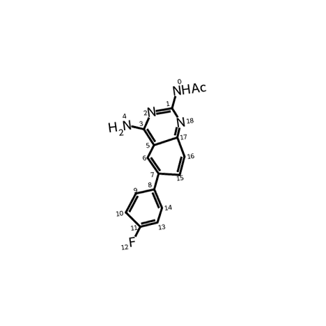 CC(=O)Nc1nc(N)c2cc(-c3ccc(F)cc3)ccc2n1